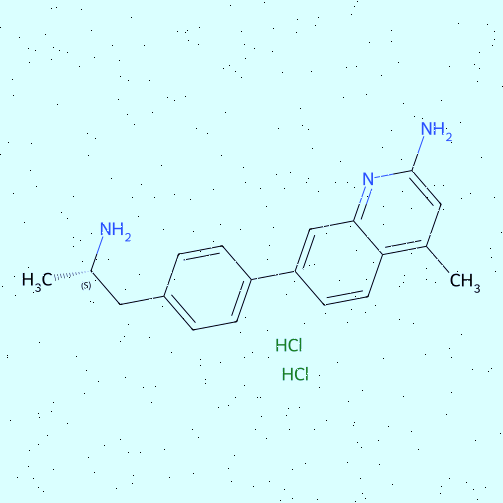 Cc1cc(N)nc2cc(-c3ccc(C[C@H](C)N)cc3)ccc12.Cl.Cl